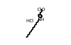 CCCCCCCCCCCCCCCNc1ccc(CCC(=O)Cl)cc1.Cl